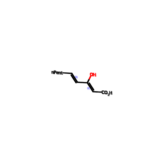 CCCCC/C=C/C(O)=C/C(=O)O